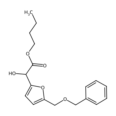 CCCCOC(=O)C(O)c1ccc(COCc2ccccc2)o1